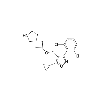 Clc1cccc(Cl)c1-c1noc(C2CC2)c1COC1CC2(CCNC2)C1